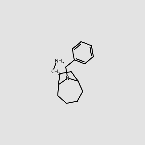 CN.c1ccc(CN2C3CCCCC2CC3)cc1